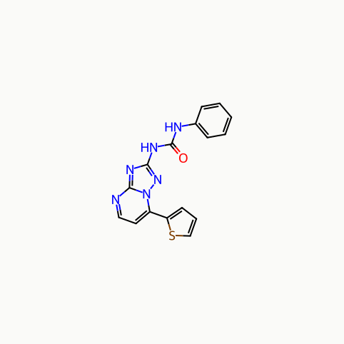 O=C(Nc1ccccc1)Nc1nc2nccc(-c3cccs3)n2n1